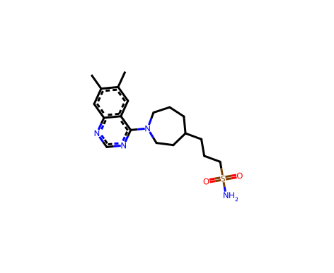 Cc1cc2ncnc(N3CCCC(CCCS(N)(=O)=O)CC3)c2cc1C